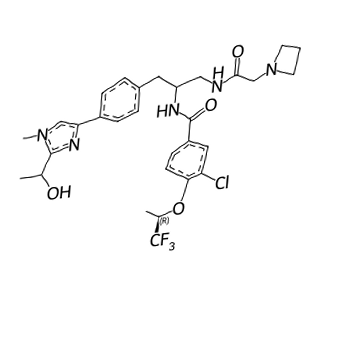 CC(O)c1nc(-c2ccc(CC(CNC(=O)CN3CCC3)NC(=O)c3ccc(O[C@H](C)C(F)(F)F)c(Cl)c3)cc2)cn1C